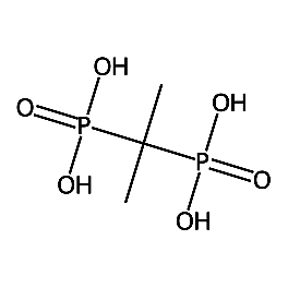 CC(C)(P(=O)(O)O)P(=O)(O)O